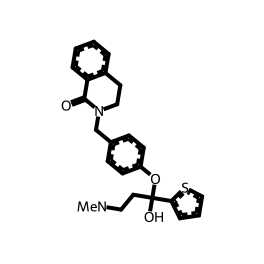 CNCCC(O)(Oc1ccc(CN2CCc3ccccc3C2=O)cc1)c1cccs1